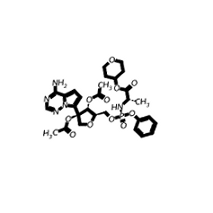 CC(=O)O[C@@H]1[C@@H](CO[P@](=O)(N[C@@H](C)C(=O)OC2CCOCC2)Oc2ccccc2)OC[C@]1(OC(C)=O)c1ccc2c(N)ncnn12